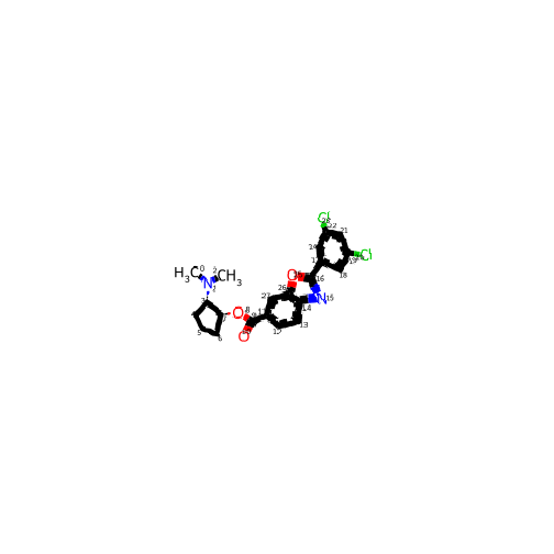 CN(C)[C@H]1CCC[C@H]1OC(=O)c1ccc2nc(-c3cc(Cl)cc(Cl)c3)oc2c1